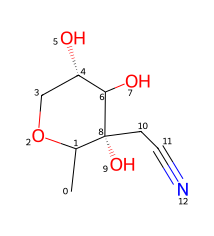 CC1OC[C@H](O)C(O)[C@@]1(O)CC#N